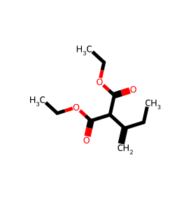 C=C(CC)C(C(=O)OCC)C(=O)OCC